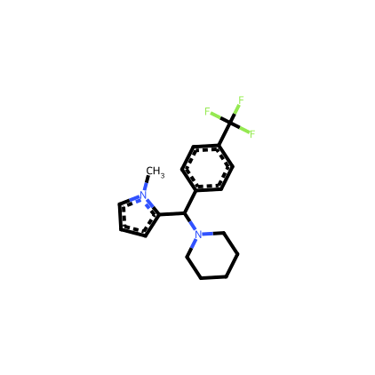 Cn1cccc1C(c1ccc(C(F)(F)F)cc1)N1CCCCC1